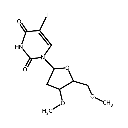 COCC1OC(n2cc(I)c(=O)[nH]c2=O)CC1OC